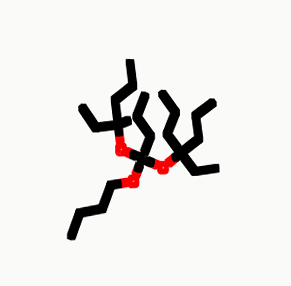 CCCCO[Si](CCC)(OC(C)(CC)CCC)OC(CC)(CCC)CCC